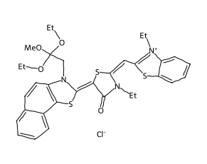 CCOC(CN1C(=c2sc(=Cc3sc4ccccc4[n+]3CC)n(CC)c2=O)Sc2c1ccc1ccccc21)(OC)OCC.[Cl-]